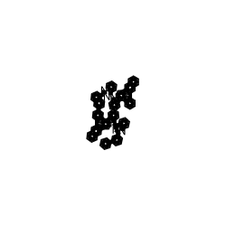 c1ccc(-c2cccc(-c3nc(-n4c5ccccc5c5c6c7cc(-c8ccc9c(-c%10nc(-n%11c%12ccccc%12c%12c%13c%14ccccc%14n%14c%15cc%16ccccc%16cc%15c(cc%12%11)c%13%14)c%11ccccc%11n%10)cccc9c8)ccc7n7c8cc9ccccc9cc8c(cc54)c67)c4ccccc4n3)c2)cc1